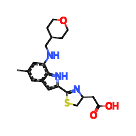 Cc1cc(NCC2CCOCC2)c2[nH]c(C3=NC(CC(=O)O)CS3)cc2c1